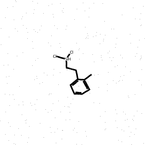 Cc1ccccc1CC[SiH](Cl)Cl